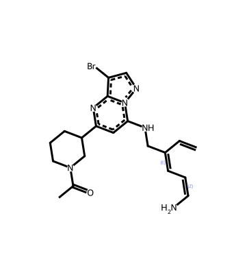 C=C/C(=C\C=C/N)CNc1cc(C2CCCN(C(C)=O)C2)nc2c(Br)cnn12